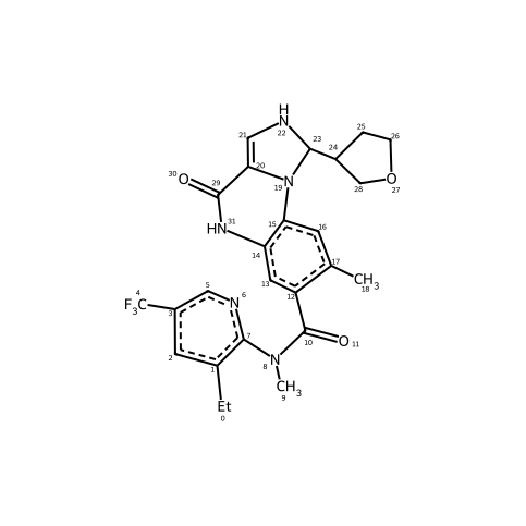 CCc1cc(C(F)(F)F)cnc1N(C)C(=O)c1cc2c(cc1C)N1C(=CNC1C1CCOC1)C(=O)N2